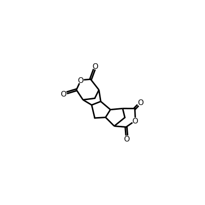 O=C1OC(=O)C2CC1C1CC3C4CC(C(=O)OC4=O)C3C21